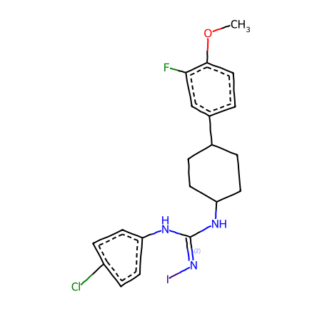 COc1ccc(C2CCC(N/C(=N/I)Nc3ccc(Cl)cc3)CC2)cc1F